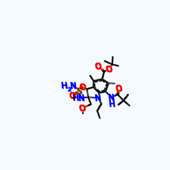 CCCN1c2c(c(C)c(C(=O)OC(C)(C)C)c(C)c2NC(=O)C(C)(C)C)CC1(COC)NS(N)(=O)=O